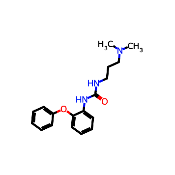 CN(C)CCCNC(=O)Nc1ccccc1Oc1ccccc1